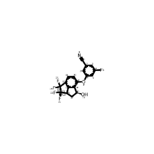 N#Cc1cc(F)cc(Oc2ccc3c4c2[C@@H](O)C[C@]4(O)C(F)(F)C3(F)F)c1